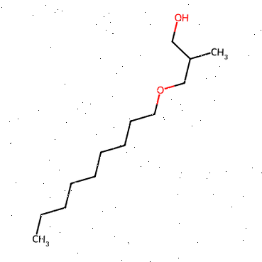 CCCCCCCCCOCC(C)CO